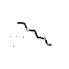 CCOCCO[NH]